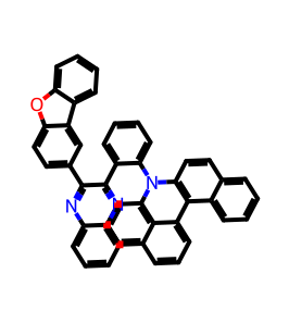 c1ccc(N2c3ccc4ccccc4c3-c3cccc4cccc2c34)c(-c2nc3ccccc3nc2-c2ccc3oc4ccccc4c3c2)c1